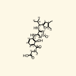 Cc1cc(C(Nc2n[s+]([O-])nc2Nc2cccc(C(=O)N(C)CC(=O)O)c2O)C(C)C)oc1C